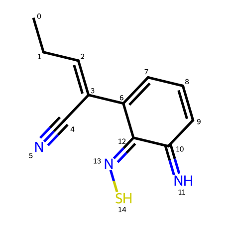 CC/C=C(\C#N)C1=CC=CC(=N)/C1=N\S